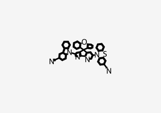 N#Cc1ccc2c(c1)Sc1ccccc1N2c1cnc2c(c1)C1(c3ccccc3Oc3ccccc31)c1cc(-n3c4ccccc4c4cc(C#N)ccc43)cnc1-2